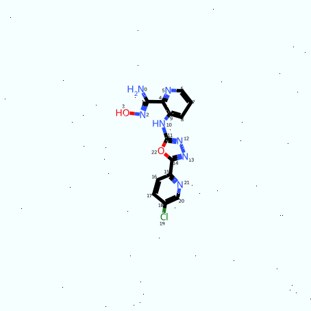 NC(=NO)c1ncccc1Nc1nnc(-c2ccc(Cl)cn2)o1